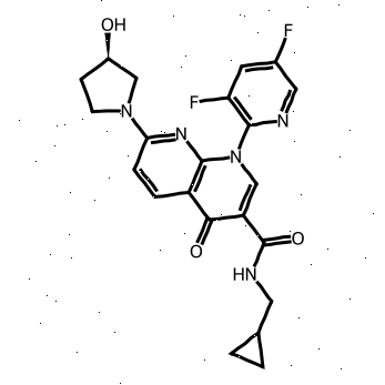 O=C(NCC1CC1)c1cn(-c2ncc(F)cc2F)c2nc(N3CC[C@@H](O)C3)ccc2c1=O